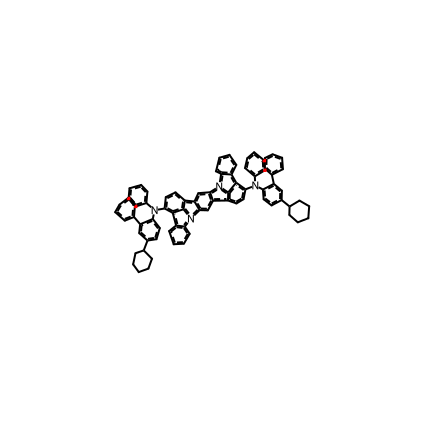 c1ccc(-c2cc(C3CCCCC3)ccc2N(c2ccccc2)c2ccc3c4cc5c(cc4n4c6ccccc6c2c34)c2ccc(N(c3ccccc3)c3ccc(C4CCCCC4)cc3-c3ccccc3)c3c4ccccc4n5c23)cc1